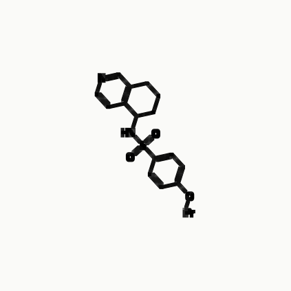 CC(C)Oc1ccc(S(=O)(=O)NC2CCCc3cnccc32)cc1